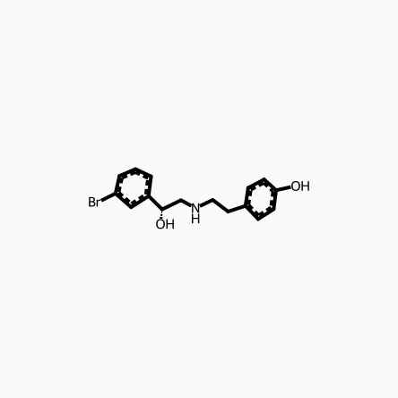 Oc1ccc(CCNC[C@H](O)c2cccc(Br)c2)cc1